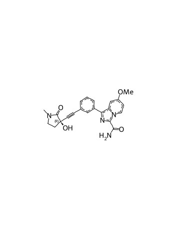 COc1ccn2c(C(N)=O)nc(-c3cccc(C#C[C@]4(O)CCN(C)C4=O)c3)c2c1